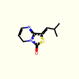 CC(C)C=c1sc(=O)n2c1=NC=CC2